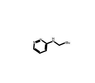 CC(C)(C)CNc1cccnn1